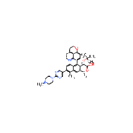 Cc1cc2c(C)c(-c3cnc(N4CCN(C)CC4)nc3)ccc2c(-c2ccc3c4c2=NCCC=4CCO3)c1[C@H](OC(C)(C)C)C(=O)O